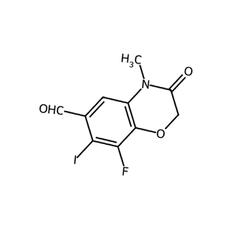 CN1C(=O)COc2c1cc(C=O)c(I)c2F